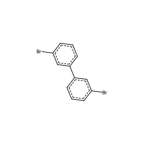 Brc1cccc(-c2cccc(Br)c2)c1